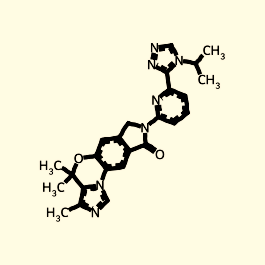 Cc1ncn2c1C(C)(C)Oc1cc3c(cc1-2)C(=O)N(c1cccc(-c2nncn2C(C)C)n1)C3